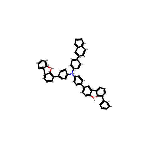 c1ccc(-c2cccc3c2oc2ccc(-c4ccc(N(c5ccc(-c6ccc7ccccc7c6)cc5)c5ccc(-c6cccc7c6oc6ccccc67)cc5)cc4)cc23)cc1